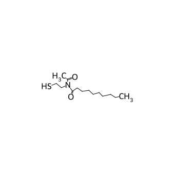 CCCCCCCCCC(=O)N(CCS)C(C)=O